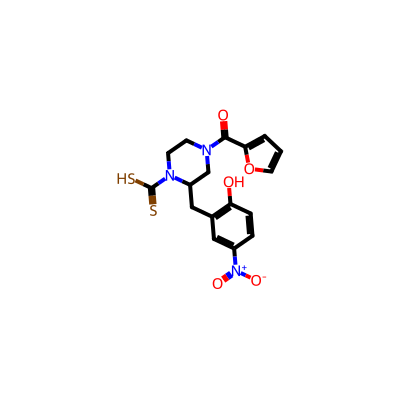 O=C(c1ccco1)N1CCN(C(=S)S)C(Cc2cc([N+](=O)[O-])ccc2O)C1